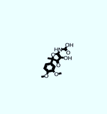 COc1ccc(C2(C)OC(NC(=O)O)=C(O)C2=O)cc1OC